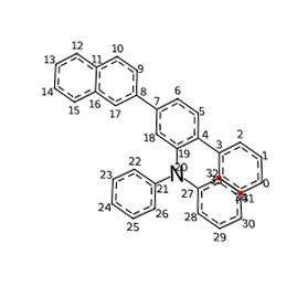 c1ccc(-c2ccc(-c3ccc4ccccc4c3)cc2N(c2ccccc2)c2ccccc2)cc1